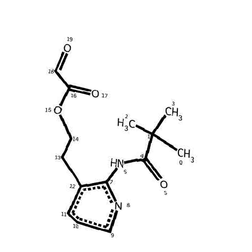 CC(C)(C)C(=O)Nc1ncccc1CCOC(=O)C=O